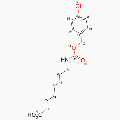 O=C(O)CCCCCCCNC(=O)OCc1ccc(O)cc1